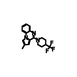 Cc1cc2c(N3CCC(C(F)(F)F)CC3)nc3ccccc3n2c1